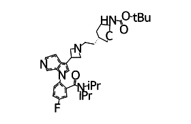 CC(C)N(C(=O)c1cc(F)ccc1-n1cc(C2CN(CC[C@H]3CC[C@H](NC(=O)OC(C)(C)C)CC3)C2)c2ccncc21)C(C)C